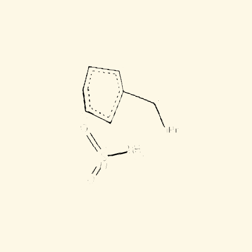 CC(C)Cc1ccccc1.N[SH](=O)=O